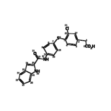 O=C(O)Cc1ccc(Sc2ccc(NC(=O)c3cc4ccccc4[nH]3)cc2)c(Cl)c1